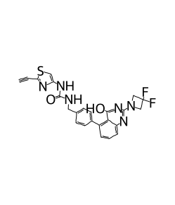 C#Cc1nc(NC(=O)NCc2ccc(-c3cccc4nc(N5CC(F)(F)C5)nc(O)c34)cc2)cs1